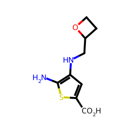 Nc1sc(C(=O)O)cc1NCC1CCO1